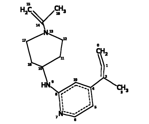 C=C=C(C)c1ccnc(NC2CCN(C(=C)C)CC2)c1